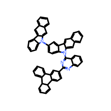 C1=CC2c3ccccc3-c3cc(-c4nc(-n5c6ccc(-n7c8ccccc8c8cc9ccccc9cc87)cc6c6cc7ccccc7cc65)c5ccccc5n4)ccc3C2C=C1